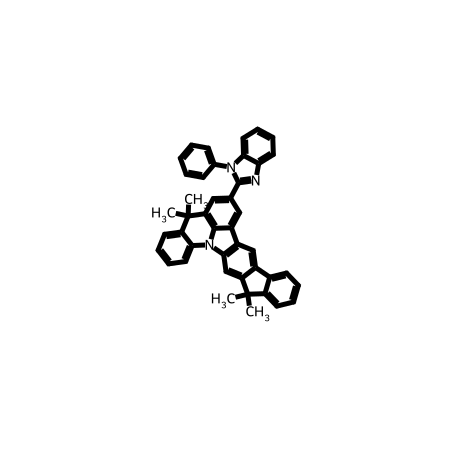 CC1(C)c2ccccc2-c2cc3c4cc(-c5nc6ccccc6n5-c5ccccc5)cc5c4n(c3cc21)-c1ccccc1C5(C)C